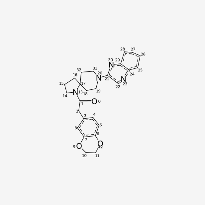 O=C(Cc1ccc2c(c1)OCCO2)N1CCCC12CCN(c1cnc3ccccc3n1)CC2